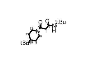 CC(C)(C)NC(=O)CC(=O)N1CCC(C(C)(C)C)CC1